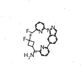 N[C@H](c1cccc(-c2ccc3cnn(-c4cccc(CF)n4)c3c2)n1)C1CC(F)(F)C1